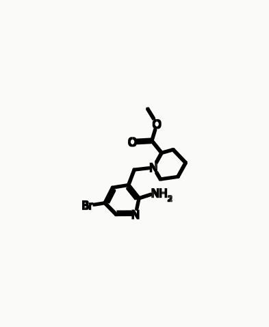 COC(=O)C1CCCCN1Cc1cc(Br)cnc1N